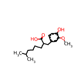 COc1cc(CC(CCCCC(C)C)C(=O)O)ccc1O